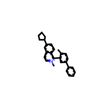 Cc1ccc(-c2ccccc2)cc1-c1c2ccc(C3CCCC3)cc2cc[n+]1C